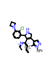 C=C/C=C(\N=C/C)C1=C(c2cnn(CCC)c2C(F)(F)F)CNC1c1cccc(N2CCC2)c1Cl